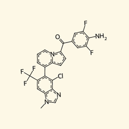 Cn1cnc2c(Cl)c(-c3cccn4c(C(=O)c5cc(F)c(N)c(F)c5)ccc34)c(C(F)(F)F)cc21